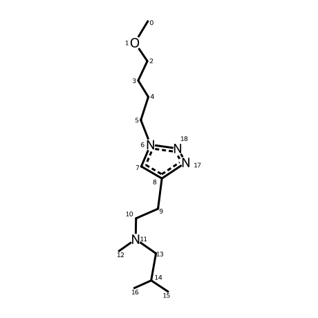 COCCCCn1cc(CCN(C)CC(C)C)nn1